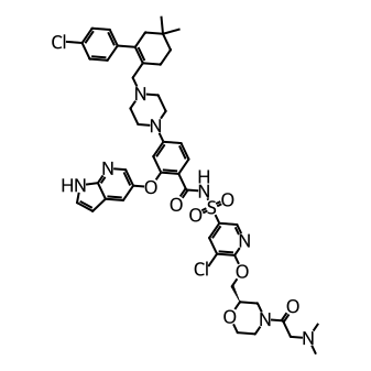 CN(C)CC(=O)N1CCO[C@@H](COc2ncc(S(=O)(=O)NC(=O)c3ccc(N4CCN(CC5=C(c6ccc(Cl)cc6)CC(C)(C)CC5)CC4)cc3Oc3cnc4[nH]ccc4c3)cc2Cl)C1